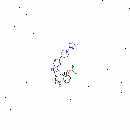 Cn1ccc(N2CC=C(c3ccn4nc5c(c4c3)[C@@H]3C[C@H]5NC(=O)c4cccc(OC(F)F)c43)CC2)n1